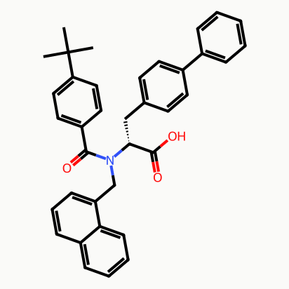 CC(C)(C)c1ccc(C(=O)N(Cc2cccc3ccccc23)[C@H](Cc2ccc(-c3ccccc3)cc2)C(=O)O)cc1